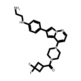 NCCNc1ccc(-c2cc3c(N4CCN(C(=O)C5CC(F)(F)C5)CC4)ccnn3c2)cc1